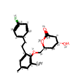 CCCc1cc(C)cc(CCc2ccc(F)cc2)c1OC[C@@H]1C[C@@H](O)CC(=O)O1